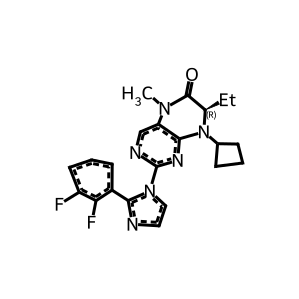 CC[C@@H]1C(=O)N(C)c2cnc(-n3ccnc3-c3cccc(F)c3F)nc2N1C1CCC1